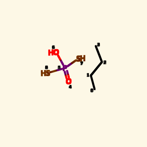 CCCC.O=P(O)(S)S